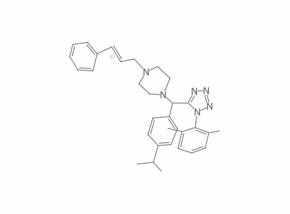 Cc1cccc(C)c1-n1nnnc1C(c1ccc(C(C)C)cc1)N1CCN(C/C=C/c2ccccc2)CC1